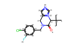 CC(C)(C)C1C(=O)N(Cc2ccc(Cl)c(F)c2)Cc2cncn21